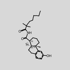 CCCCCC(C)(C)C(=O)NC(=O)[C@@]1(C)CCC[C@]2(C)c3cc(O)ccc3CC[C@@H]12